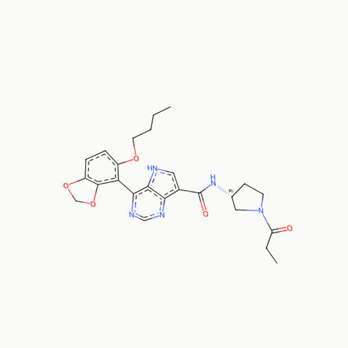 CCCCOc1ccc2c(c1-c1ncnc3c(C(=O)N[C@@H]4CCN(C(=O)CC)C4)c[nH]c13)OCO2